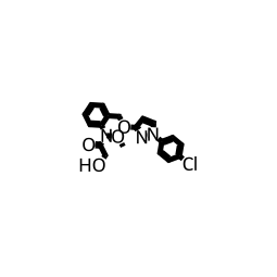 CON(C(=O)CO)c1ccccc1COc1ccn(-c2ccc(Cl)cc2)n1